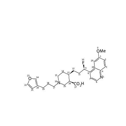 COc1ccc2nccc([C@H](F)CC[C@@H]3CCN(CCCc4ccoc4)C[C@@H]3C(=O)O)c2c1